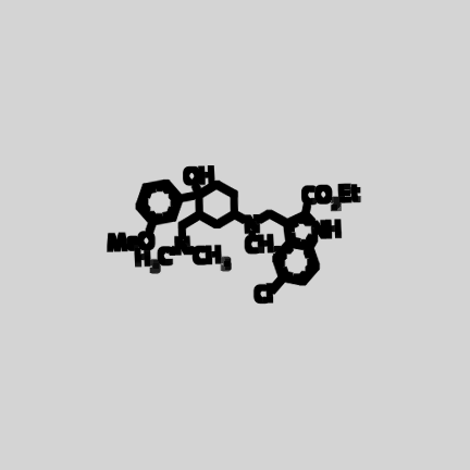 CCOC(=O)c1[nH]c2ccc(Cl)cc2c1CN(C)C1CCC(O)(c2cccc(OC)c2)C(CN(C)C)C1